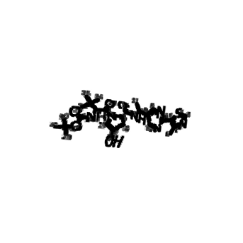 Cc1ncsc1-c1ncc(C(C)NC(=O)[C@@H]2C[C@@H](O)CN2C(=O)[C@@H](NC(=O)OC(C)(C)C)C(C)(C)C)cn1